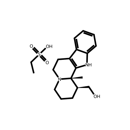 CCS(=O)(=O)O.C[C@]12c3[nH]c4ccccc4c3CCN1CCC[C@@H]2CO